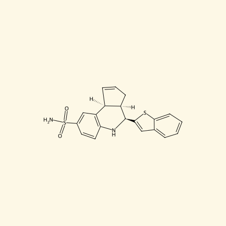 NS(=O)(=O)c1ccc2c(c1)[C@H]1C=CC[C@H]1[C@@H](c1cc3ccccc3s1)N2